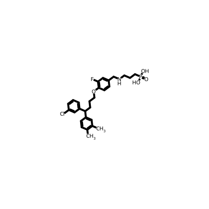 Cc1ccc(C(CCCOc2ccc(CNCCCP(=O)(O)O)cc2F)c2cccc(Cl)c2)cc1C